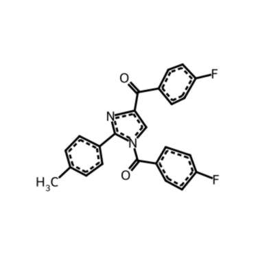 Cc1ccc(-c2nc(C(=O)c3ccc(F)cc3)cn2C(=O)c2ccc(F)cc2)cc1